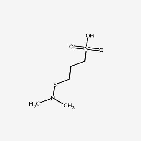 CN(C)SCCCS(=O)(=O)O